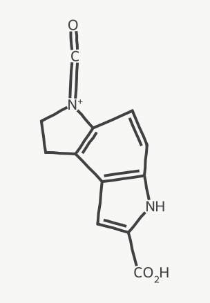 O=C=[N+]1CCc2c1ccc1[nH]c(C(=O)O)cc21